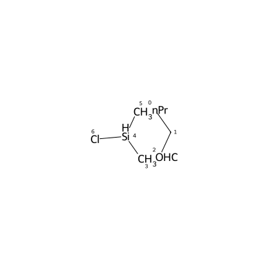 CCCCC=O.C[SiH](C)Cl